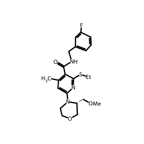 CCSc1nc(N2CCOC[C@H]2COC)cc(C)c1C(=O)NCc1cccc(F)c1